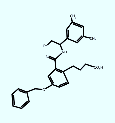 Cc1cc(C)cc(C(CC(C)C)NC(=O)c2cc(OCc3ccccc3)ccc2CCCC(=O)O)c1